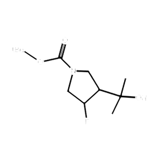 CC(C)(C)OC(=O)N1CC(F)C(C(C)(C)O)C1